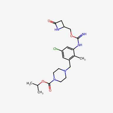 Cc1c(CN2CCN(C(=O)OC(C)C)CC2)cc(Cl)cc1NC(=N)OCC1CC(=O)N1